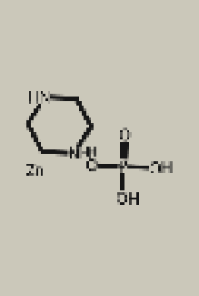 C1CNCCN1.O=P(O)(O)O.[Zn]